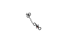 C=C(C)C(=O)OCCCCCCc1ccc(N=Nc2ccccc2)cc1